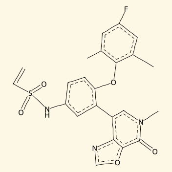 C=CS(=O)(=O)Nc1ccc(Oc2c(C)cc(F)cc2C)c(-c2cn(C)c(=O)c3ocnc23)c1